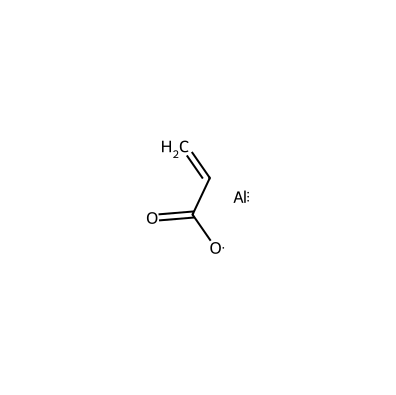 C=CC([O])=O.[Al]